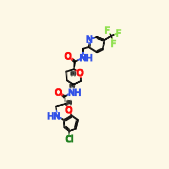 O=C(NCc1ccc(C(F)(F)F)cn1)[C@@H]1CC[C@@H](NC(=O)[C@H]2CNc3cc(Cl)ccc3O2)CO1